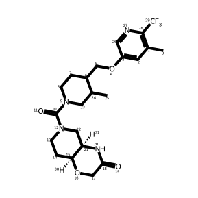 Cc1cc(OCC2CCN(C(=O)N3CC[C@@H]4OCC(=O)N[C@@H]4C3)CC2C)cnc1C(F)(F)F